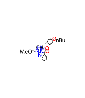 CCCCOc1ccc(CC(=O)Nn2c(N(C)CCOC)nc3ccccc3c2=O)cc1